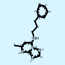 Cc1cc(NCCCc2ccccc2)n2ncnc2n1